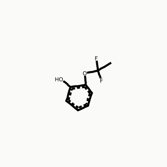 CC(F)(F)Oc1ccccc1O